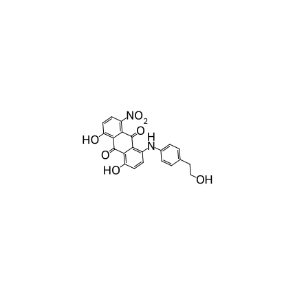 O=C1c2c(O)ccc(Nc3ccc(CCO)cc3)c2C(=O)c2c([N+](=O)[O-])ccc(O)c21